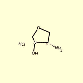 Cl.N[C@H]1COCN1O